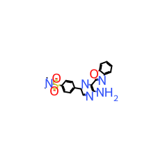 CN(C)S(=O)(=O)c1ccc(-c2cnc(N)c(-c3nc4ccccc4o3)n2)cc1